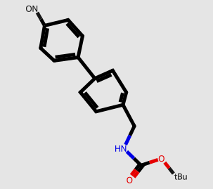 CC(C)(C)OC(=O)NCc1ccc(-c2ccc(N=O)cc2)cc1